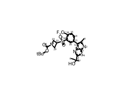 Cc1nc2sc(C(C)(C)O)nn2c1-c1ccc(C(F)(F)F)c(S(=O)(=O)C2CN(C(=O)OC(C)(C)C)C2)c1